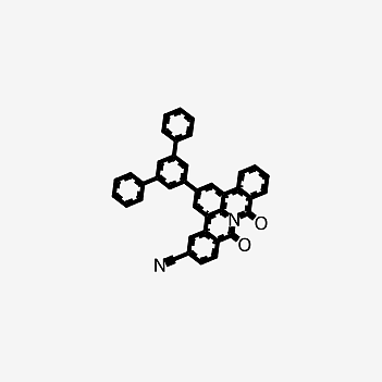 N#Cc1ccc2c(=O)n3c(=O)c4ccccc4c4cc(-c5cc(-c6ccccc6)cc(-c6ccccc6)c5)cc(c2c1)c43